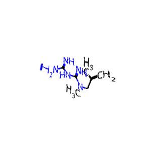 C=C(C)CN(C)C(=N)NC(=N)N